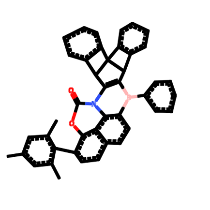 Cc1cc(C)c(-c2ccc3ccc4c5c3c2OC(=O)N5C2=C(B4c3ccccc3)C3c4ccccc4C34c3ccccc3C24)c(C)c1